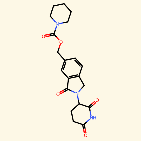 O=C1CCC(N2Cc3ccc(COC(=O)N4CCCCC4)cc3C2=O)C(=O)N1